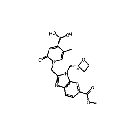 COC(=O)c1ccc2nc(Cn3cc(C)c(B(O)O)cc3=O)n(C[C@@H]3CCO3)c2n1